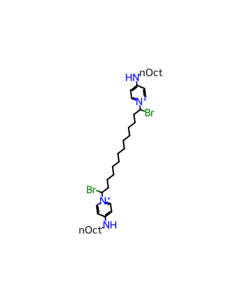 CCCCCCCCNc1cc[n+](C(Br)CCCCCCCCCCCCC(Br)[n+]2ccc(NCCCCCCCC)cc2)cc1